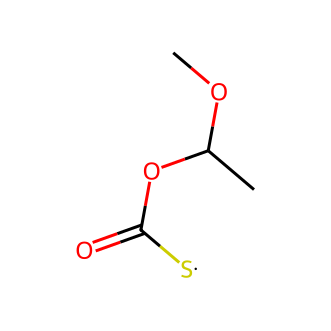 COC(C)OC(=O)[S]